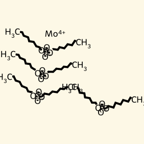 CCCCCCCCOP(=O)([O-])OCCCCCCCC.CCCCCCCCOP(=O)([O-])OCCCCCCCC.CCCCCCCCOP(=O)([O-])OCCCCCCCC.CCCCCCCCOP(=O)([O-])OCCCCCCCC.[Mo+4]